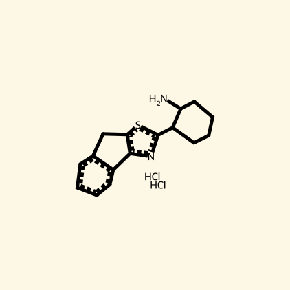 Cl.Cl.NC1CCCCC1c1nc2c(s1)Cc1ccccc1-2